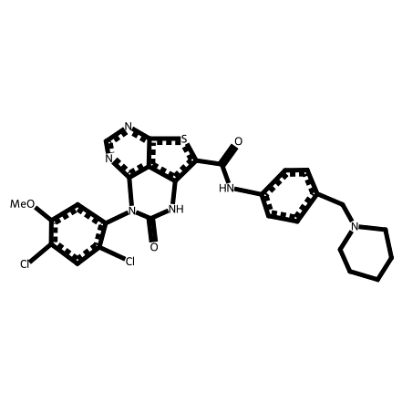 COc1cc(N2C(=O)Nc3c(C(=O)Nc4ccc(CN5CCCCC5)cc4)sc4ncnc2c34)c(Cl)cc1Cl